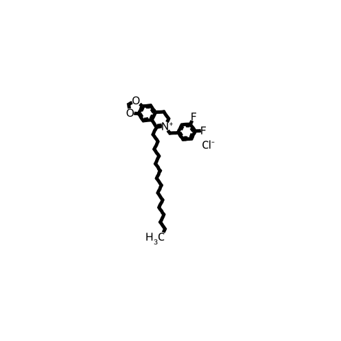 CCCCCCCCCCCCCCCC1=[N+](Cc2ccc(F)c(F)c2)CCc2cc3c(cc21)OCO3.[Cl-]